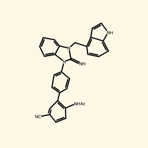 CC(=O)Nc1ccc(C#N)cc1-c1ccc(-n2c(=N)n(Cc3cccc4[nH]ccc34)c3ccccc32)cc1